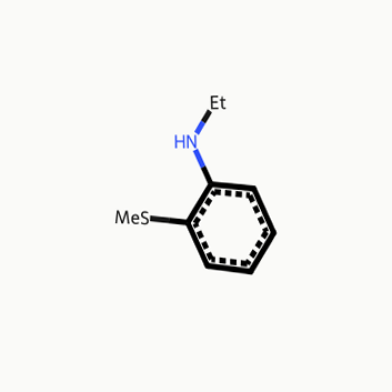 CCNc1ccccc1SC